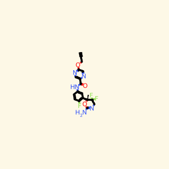 C#CCOc1cnc(C(=O)Nc2ccc(F)c([C@@]3(C)OC(N)=NCC3(F)F)c2)cn1